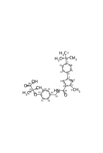 Cc1nc(-c2ccc(C(C)(C)C)cc2)sc1C(=O)NCc1ccc(OC(C)(C)C(=O)O)cc1